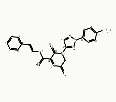 N=C(OC=Cc1ccccc1)C1=NC(=O)CN(c2nnn(-c3ccc(C(=O)O)cc3)n2)C1=O